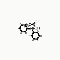 CS(=O)O.c1ccc(Nc2ccccc2)cc1